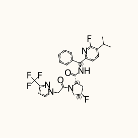 CC(C)c1ccc([C@@H](NC(=O)[C@@H]2C[C@@H](F)CN2C(=O)Cn2ccc(C(F)(F)F)n2)c2ccccc2)nc1F